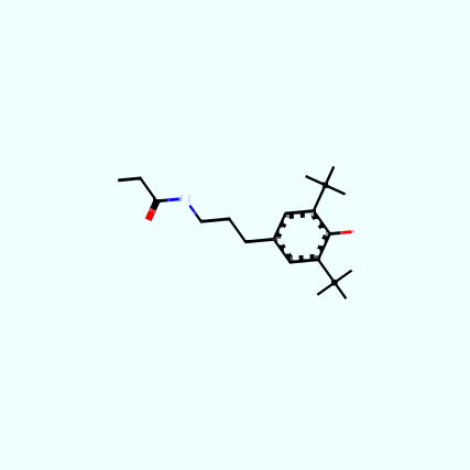 CCC(=O)NCCCc1cc(C(C)(C)C)c(O)c(C(C)(C)C)c1